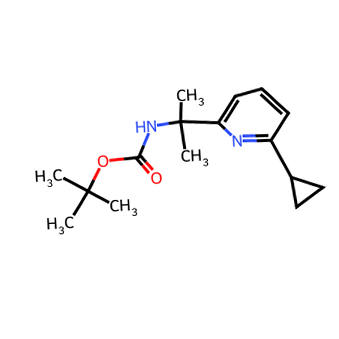 CC(C)(C)OC(=O)NC(C)(C)c1cccc(C2CC2)n1